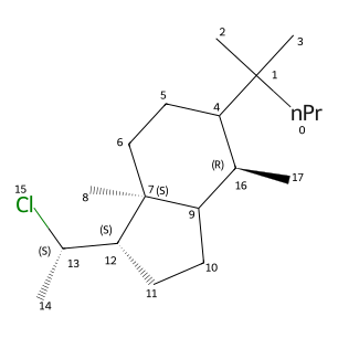 CCCC(C)(C)C1CC[C@@]2(C)C(CC[C@@H]2[C@H](C)Cl)[C@@H]1C